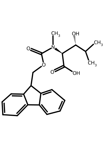 CC(C)[C@@H](O)[C@@H](C(=O)O)N(C)C(=O)OCC1c2ccccc2-c2ccccc21